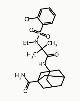 CCN(C(C)(C)C(=O)NC12CC3CC(C1)CC(C(N)=O)(C3)C2)S(=O)(=O)c1ccccc1Cl